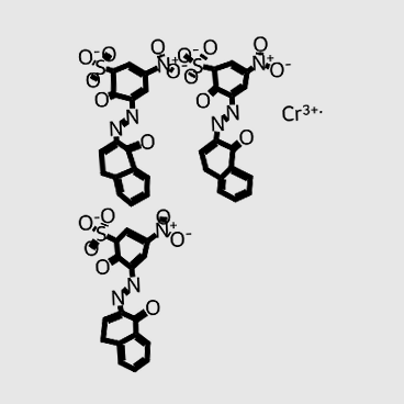 O=C1C(N=NC2=CC([N+](=O)[O-])=CC(S(=O)(=O)[O-])C2=O)=CCc2ccccc21.O=C1C(N=NC2=CC([N+](=O)[O-])=CC(S(=O)(=O)[O-])C2=O)=CCc2ccccc21.O=C1C(N=NC2=CC([N+](=O)[O-])=CC(S(=O)(=O)[O-])C2=O)=CCc2ccccc21.[Cr+3]